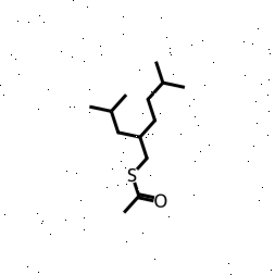 CC(=O)SCC(CCC(C)C)CC(C)C